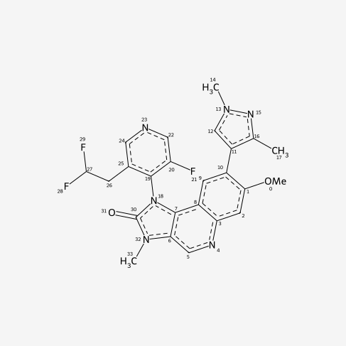 COc1cc2ncc3c(c2cc1-c1cn(C)nc1C)n(-c1c(F)cncc1CC(F)F)c(=O)n3C